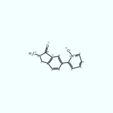 CN1Cc2ccc(-c3cccc[n+]3[O-])cc2C1=O